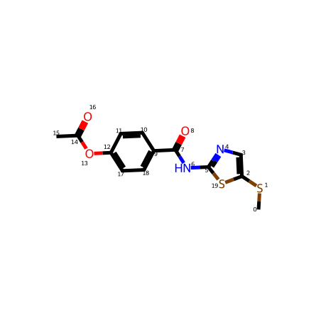 CSc1cnc(NC(=O)c2ccc(OC(C)=O)cc2)s1